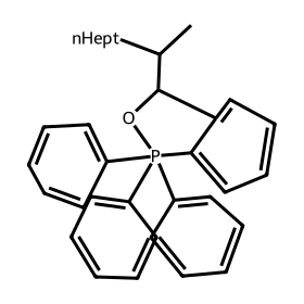 CCCCCCCC(C)C1OP(c2ccccc2)(c2ccccc2)(c2ccccc2)c2ccccc21